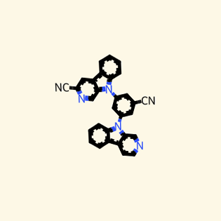 N#Cc1cc(-n2c3ccccc3c3ccncc32)cc(-n2c3ccccc3c3cc(C#N)ncc32)c1